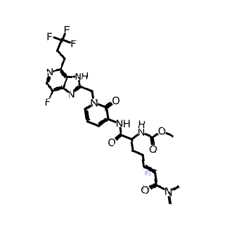 COC(=O)NC(CC/C=C/C(=O)N(C)C)C(=O)Nc1cccn(Cc2nc3c(F)cnc(CCC(F)(F)F)c3[nH]2)c1=O